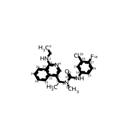 CCNc1ncc([C@@H](C)N(C)C(=O)Nc2ccc(F)c(Cl)c2)c2ccccc12